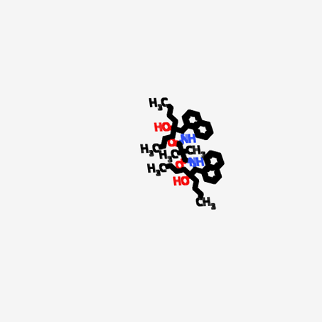 CCCCC(O)(CCCC)[C@@H](NC(=O)C(C)(C)C(=O)N[C@@H](c1cccc2ccccc12)C(O)(CCCC)CCCC)c1cccc2ccccc12